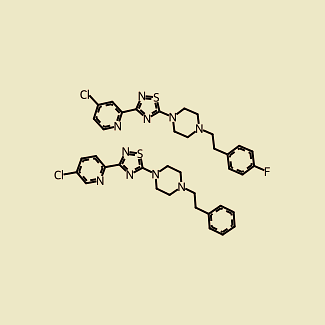 Clc1ccc(-c2nsc(N3CCN(CCc4ccccc4)CC3)n2)nc1.Fc1ccc(CCN2CCN(c3nc(-c4cc(Cl)ccn4)ns3)CC2)cc1